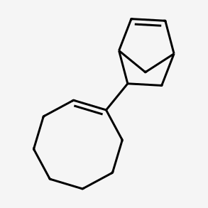 C1=CC2CC1CC2C1=CCCCCCC1